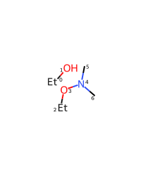 CCO.CCON(C)C